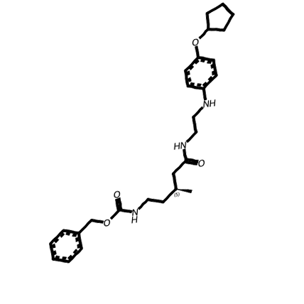 C[C@@H](CCNC(=O)OCc1ccccc1)CC(=O)NCCNc1ccc(OC2CCCC2)cc1